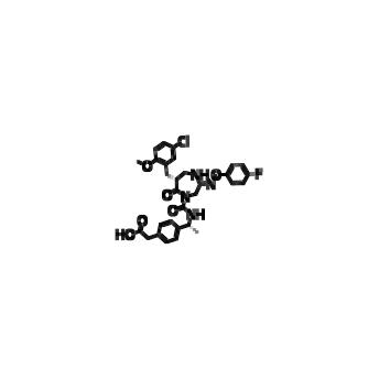 COc1ccc(Cl)cc1C[C@@H]1CN/C(=N\Oc2ccc(F)cc2)CN(C(=O)N[C@H](C)c2ccc(CC(=O)O)cc2)C1=O